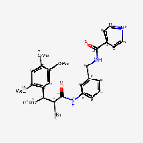 CCCCCC(c1cc(OC)c(OC)cc1OC)C(C(=O)Nc1cccc(CNC(=O)c2ccncc2)c1)C(C)(C)C